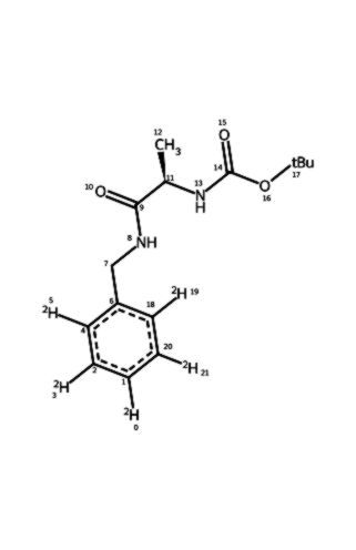 [2H]c1c([2H])c([2H])c(CNC(=O)[C@@H](C)NC(=O)OC(C)(C)C)c([2H])c1[2H]